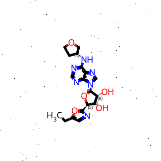 CCc1cnc([C@H]2O[C@@H](n3cnc4c(N[C@@H]5CCOC5)ncnc43)[C@H](O)[C@@H]2O)o1